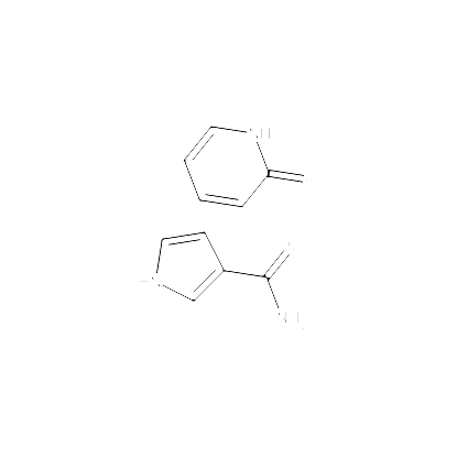 NC(=O)c1cc[nH]c1.O=c1cccc[nH]1